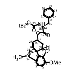 COc1ccc2c3c1O[C@H]1C[C@H](OC(=O)[C@H](Cc4ccccc4)NC(=O)OC(C)(C)C)C=C[C@@]31CCN(C)C2